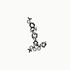 CC(C)Oc1ccc2nc(N3CCN([C@H]4C[C@@H](C(=O)N5CCSC5)N(C(=O)OC(C)(C)C)C4)CC3)sc2c1